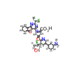 C[C@H]1COCC[C@]1(F)c1cc(-c2cccc(N(C)C)c2)cnc1O[C@H]1C[C@@H](C(=O)O)N(c2nc(C(F)F)nc3c2oc2ccccc23)C1